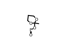 CC1(OP=O)OCCCO1